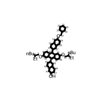 CCCCC(CC)COc1ccc2c(-c3ccc4cc(OCc5ccccc5)ccc4c3)c3cc(OCC(CC)CCCC)ccc3c(-c3ccc4cc(O)ccc4c3)c2c1